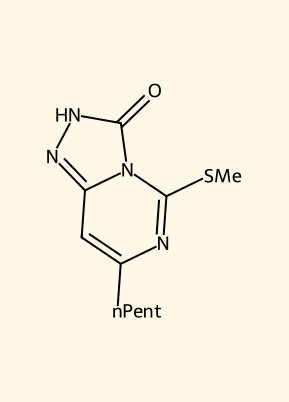 CCCCCc1cc2n[nH]c(=O)n2c(SC)n1